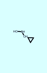 C1CC1.OBO